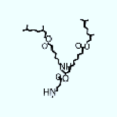 CNCCCC(=O)OC(CCCCCCCC(=O)OCCC(C)CCC=C(C)C)CNCCCCCCC(=O)OCCC(C)CCC=C(C)C